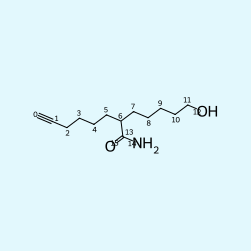 C#CCCCCC(CCCCCO)C(N)=O